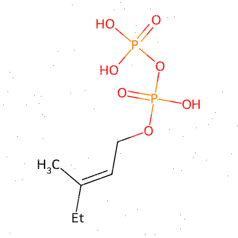 CC/C(C)=C/COP(=O)(O)OP(=O)(O)O